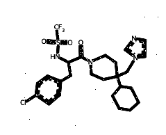 O=C(C(Cc1ccc(Cl)cc1)NS(=O)(=O)C(F)(F)F)N1CCC(Cn2ccnc2)(C2CCCCC2)CC1